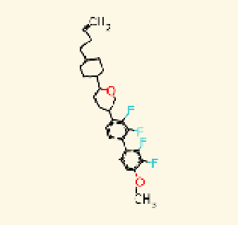 C=CCCC1CCC(C2CCC(c3ccc(-c4ccc(OCC)c(F)c4F)c(F)c3F)CO2)CC1